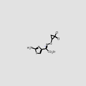 CCOC(=O)/C(=N\OC1CC1(Cl)Cl)c1csc(N)n1